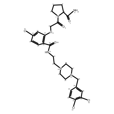 NC(=O)C1CCCN1C(=O)COc1cc(Cl)ccc1C(=O)NCCN1CCN(Cc2ccc(Cl)c(Cl)c2)CC1